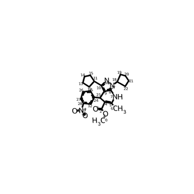 COC(=O)C1=C(C)Nc2c(c(C3CCCC3)nn2C2CCCC2)C1c1cccc([N+](=O)[O-])c1